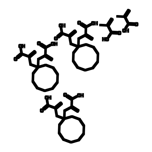 C=C(C)C(=O)O.C=C(C)C(=O)O.C=C(CC1(CC(=C)C(=O)O)CCCCCCCCC1)C(=O)O.C=C(CC1(CC(=C)C(=O)O)CCCCCCCCC1)C(=O)O.C=C(CC1(CC(=C)C(=O)O)CCCCCCCCC1)C(=O)O